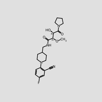 CO[C@@H](C(=O)NCC1CCN(c2ccc(F)cc2C#N)CC1)[C@@H](O)C(=O)N1CCCC1